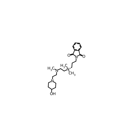 CN(CCN1CCC(O)CC1)CC[N+](C)(C)CCCN1C(=O)c2ccccc2C1=O